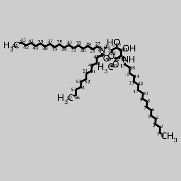 CCCCCCCCCCCCCCCCCCN[C@H]1[C@@H](OC)O[C@H](CN(CCCCCCCCCCCCCCCCCC)C(=O)CCCCCCCCCCC)[C@@H](O)[C@@H]1O